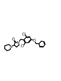 O=C1C(N2CCCCC2)CCN1Cc1c(Cl)cc(OCC2C=CC=CC2)cc1Cl